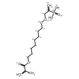 C=C(C)C(=O)OCCCCCCCCOOCC(=C)P(=O)(O)O